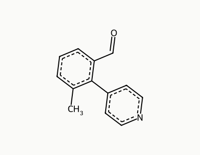 Cc1cccc(C=O)c1-c1ccncc1